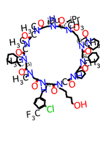 CC[C@H](C)C1NC(=O)[C@H](CC(C)C)N(C)C(=O)C[C@@H](C(=O)N2CCCCC2)N(C)C(=O)[C@H](C2CCCCC2)N(C)C(=O)C2(CCCC2)NC(=O)CN(CCCCCO)C(=O)[C@@H](CCc2ccc(C(F)(F)F)c(Cl)c2)NC(=O)CN(C)C(=O)[C@H](CC2CCCCC2)N(C)C(=O)CN(C)C(=O)CN(C)C1=O